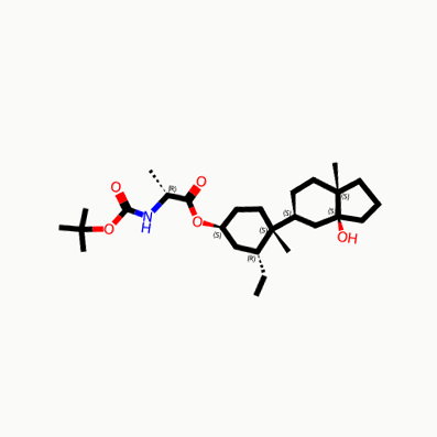 CC[C@@H]1C[C@@H](OC(=O)[C@@H](C)NC(=O)OC(C)(C)C)CC[C@]1(C)[C@H]1CC[C@]2(C)CCC[C@]2(O)C1